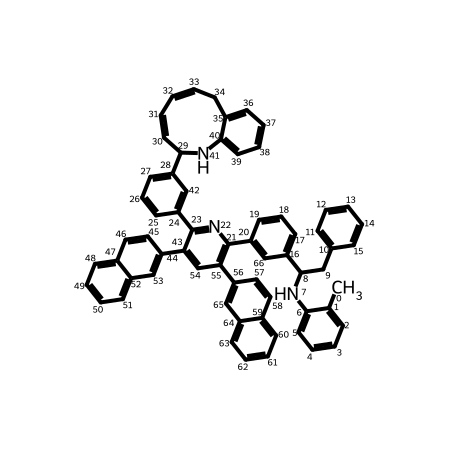 Cc1ccccc1NC(Cc1ccccc1)c1cccc(-c2nc(-c3cccc(C4/C=C\C=C/Cc5ccccc5N4)c3)c(-c3ccc4ccccc4c3)cc2-c2ccc3ccccc3c2)c1